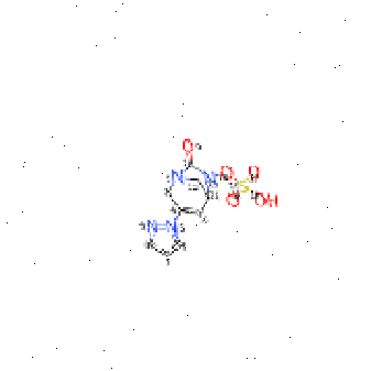 O=C1N2CC(n3cccn3)=CC(C2)N1OS(=O)(=O)O